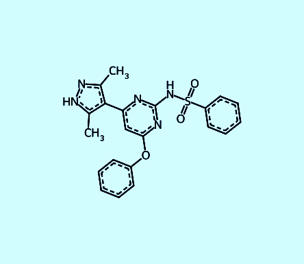 Cc1n[nH]c(C)c1-c1cc(Oc2ccccc2)nc(NS(=O)(=O)c2ccccc2)n1